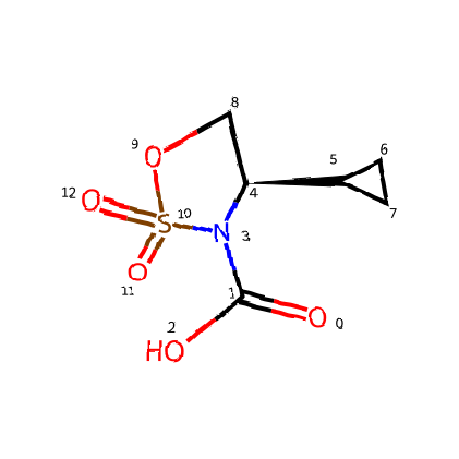 O=C(O)N1[C@H](C2CC2)COS1(=O)=O